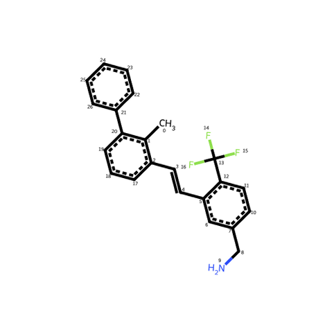 Cc1c(/C=C/c2cc(CN)ccc2C(F)(F)F)cccc1-c1ccccc1